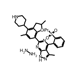 Cc1cc(-c2nc(-c3ccccc3S(=O)(=O)C(C)C)c3c(C)n[nH]c3n2)c2c(c1C1CCNCC1)CC(C)O2.NN